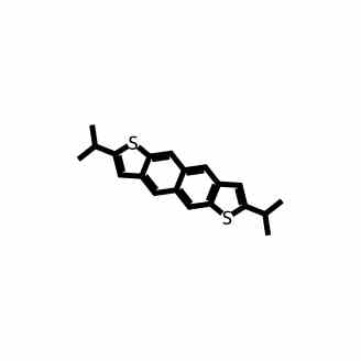 CC(C)c1cc2cc3cc4sc(C(C)C)cc4cc3cc2s1